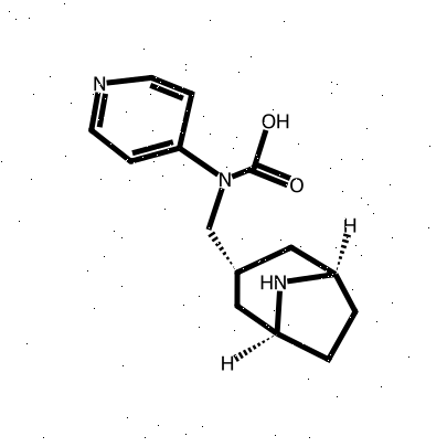 O=C(O)N(C[C@@H]1C[C@H]2CC[C@@H](C1)N2)c1ccncc1